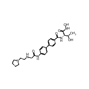 C[C@@H](O)[C@H](NC(=O)c1ccc(-c2ccc(NC(=O)CNCCN3CCCC3)cc2)cc1)C(=O)NO